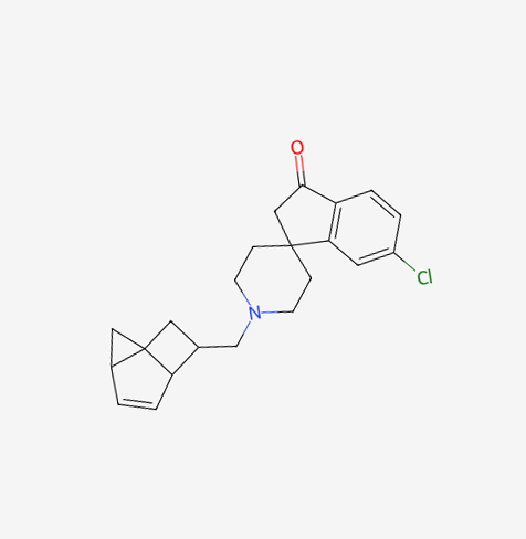 O=C1CC2(CCN(CC3CC45CC4C=CC35)CC2)c2cc(Cl)ccc21